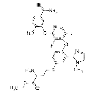 CCOC(=O)C(N)CCSc1ccc(Oc2c(F)cnc(Oc3cc(C(=N)N)ccc3O)c2F)c(C2N=CCN2C)c1